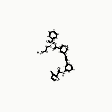 Cc1ccoc1C(=O)Nc1cccc(C#Cc2cncc(C(=O)N=[S@](=O)(CCCN)c3ccccc3)c2)c1